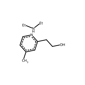 CCNCC.Cc1ccnc(CCO)c1